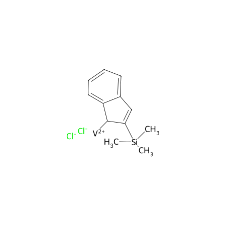 C[Si](C)(C)C1=Cc2ccccc2[CH]1[V+2].[Cl-].[Cl-]